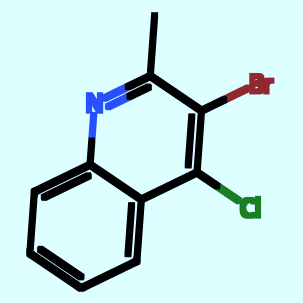 Cc1nc2ccccc2c(Cl)c1Br